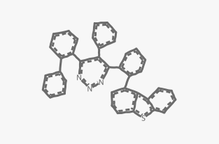 c1ccc(-c2ccccc2-c2nnnc(-c3ccccc3-c3cccc4sc5ccccc5c34)c2-c2ccccc2)cc1